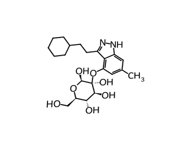 Cc1cc(O[C@]2(O)[C@H](O)O[C@H](CO)[C@@H](O)[C@@H]2O)c2c(CCC3CCCCC3)n[nH]c2c1